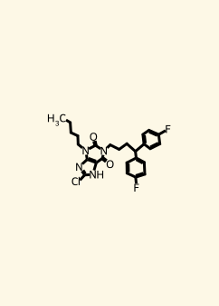 CCCCCn1c(=O)n(CCCC(c2ccc(F)cc2)c2ccc(F)cc2)c(=O)c2[nH]c(Cl)nc21